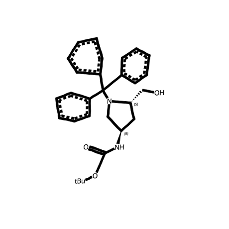 CC(C)(C)OC(=O)N[C@@H]1C[C@@H](CO)N(C(c2ccccc2)(c2ccccc2)c2ccccc2)C1